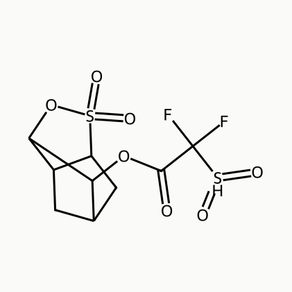 O=C(OC1C2CC3C1OS(=O)(=O)C3C2)C(F)(F)[SH](=O)=O